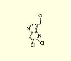 Clc1cc2ncn(CC3CC3)c2nc1Cl